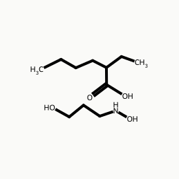 CCCCC(CC)C(=O)O.OCCCNO